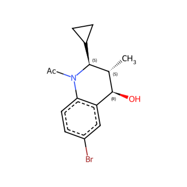 CC(=O)N1c2ccc(Br)cc2[C@H](O)[C@@H](C)[C@@H]1C1CC1